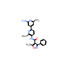 COc1nc(-c2cc(C)nc(N)c2)ccc1NC(=O)c1c(-c2ccccc2)noc1C